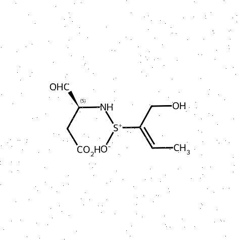 CC=C(CO)[S+]([O-])N[C@H](C=O)CC(=O)O